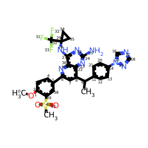 COc1ccc(-c2cc(C(C)c3ccc(-n4cncn4)cc3)c3nc(N)nc(NC4(C(F)(F)F)CC4)c3n2)cc1S(C)(=O)=O